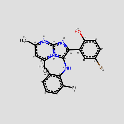 CCc1cccc(C)c1Nc1c(-c2cc(Br)ccc2O)nc2nc(C)cc(C)n12